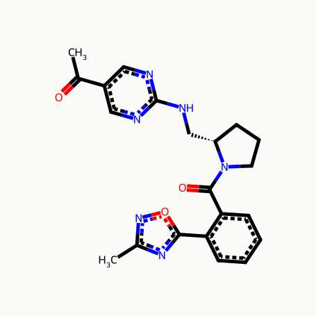 CC(=O)c1cnc(NC[C@@H]2CCCN2C(=O)c2ccccc2-c2nc(C)no2)nc1